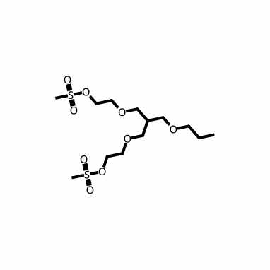 CCCOCC(COCCOS(C)(=O)=O)COCCOS(C)(=O)=O